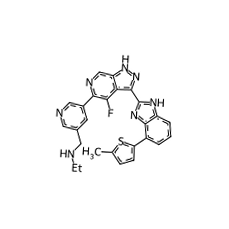 CCNCc1cncc(-c2ncc3[nH]nc(-c4nc5c(-c6ccc(C)s6)cccc5[nH]4)c3c2F)c1